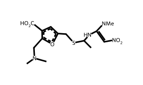 CNC(=C[N+](=O)[O-])NC(C)SCc1cc(C(=O)O)c(CN(C)C)o1